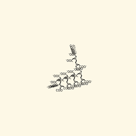 O=C([O-])CN(CCN(CC(=O)[O-])CC(=O)[O-])CC(=O)[O-].O=C([O-])CN(CCN(CC(=O)[O-])CC(=O)[O-])CC(=O)[O-].O=C([O-])CN(CCN(CC(=O)[O-])CC(=O)[O-])CC(=O)[O-].O=C([O-])CN(CCN(CC(=O)[O-])CC(=O)[O-])CC(=O)[O-].O=C([O-])CN(CCN(CC(=O)[O-])CC(=O)[O-])CC(=O)[O-].[Cr+3].[Cr+3].[Cr+3].[Cr+3].[Na+].[Na+].[Na+].[Na+].[Na+].[Na+].[Na+].[Na+]